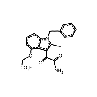 CCOC(=O)COc1cccc2c1c(C(=O)C(N)=O)c(CC)n2Cc1ccccc1